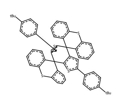 CC(C)(C)c1ccc(-c2cc3c(s2)C2(c4ccccc4Sc4ccccc42)c2cc(-c4ccc(C(C)(C)C)cc4)sc2C32c3ccccc3Sc3ccccc32)cc1